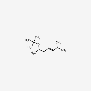 CC(C)/C=C/C[C@@H](C)OC(C)(C)C